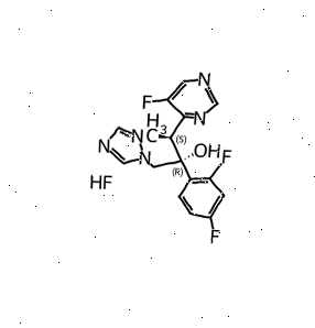 C[C@@H](c1ncncc1F)[C@](O)(Cn1cncn1)c1ccc(F)cc1F.F